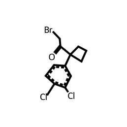 O=C(CBr)C1(c2ccc(Cl)c(Cl)c2)CCC1